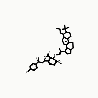 CCCC1C(C(C)(C)C)CC[C@]2(C)C1CCC1C3C(CC[C@H]3/C(C)=C/Oc3c(OC)ccc4c3C(=O)OC4CC(=O)c3ccc(Br)cc3)CC[C@]12C